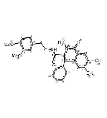 COc1ccc(CCNC(=O)c2c(-c3ccccc3)c3cc(C)c(C)cc3c(=O)n2C)cc1OC